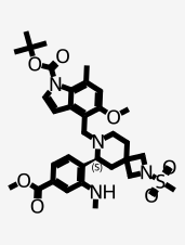 CNc1cc(C(=O)OC)ccc1[C@@H]1CC2(CCN1Cc1c(OC)cc(C)c3c1ccn3C(=O)OC(C)(C)C)CN(S(C)(=O)=O)C2